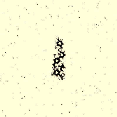 CCC1(Cn2c(Cc3ccc(-c4cccc(OCc5ccc(C)cc5F)n4)c(F)c3)nc3c(F)cc(C(=O)O)cc32)CC1